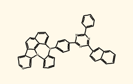 c1ccc(-c2nc(-c3ccc(-n4c5cccc6ccc7c8ccncc8n(c8ccccc84)c7c65)cc3)nc(-c3ccc4ccccc4c3)n2)cc1